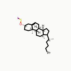 CC(C)CCC[C@@H](C)C1CC[C@H]2[C@@H]3CC=C4C[C@@H](OSI)CC[C@]4(C)[C@H]3CC[C@]12C